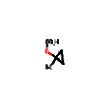 N#CC1(OC(=O)O)CC1